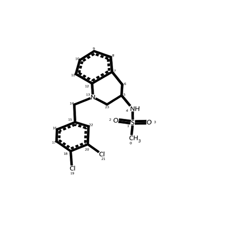 CS(=O)(=O)NC1Cc2ccccc2N(Cc2ccc(Cl)c(Cl)c2)C1